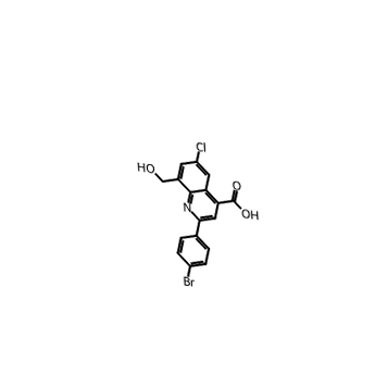 O=C(O)c1cc(-c2ccc(Br)cc2)nc2c(CO)cc(Cl)cc12